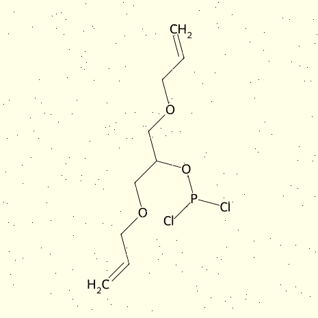 C=CCOCC(COCC=C)OP(Cl)Cl